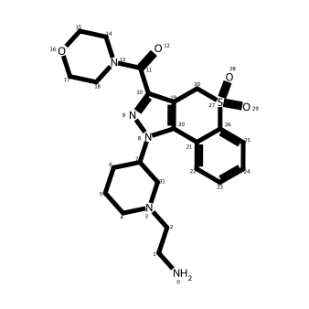 NCCN1CCCC(n2nc(C(=O)N3CCOCC3)c3c2-c2ccccc2S(=O)(=O)C3)C1